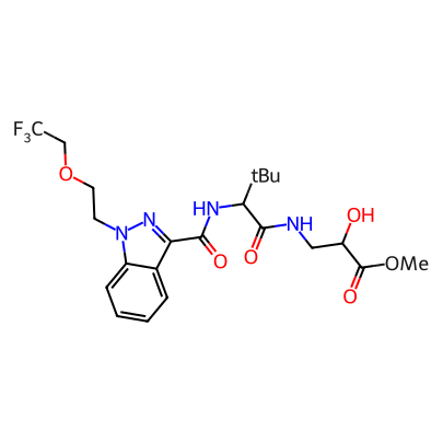 COC(=O)C(O)CNC(=O)C(NC(=O)c1nn(CCOCC(F)(F)F)c2ccccc12)C(C)(C)C